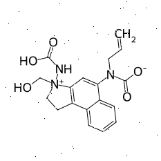 C=CCN(C(=O)[O-])c1cc2c(c3ccccc13)CC[N+]2(CO)NC(=O)O